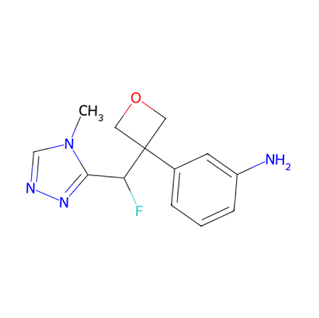 Cn1cnnc1C(F)C1(c2cccc(N)c2)COC1